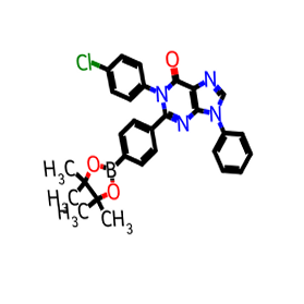 CC1(C)OB(c2ccc(-c3nc4c(ncn4-c4ccccc4)c(=O)n3-c3ccc(Cl)cc3)cc2)OC1(C)C